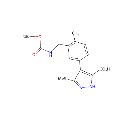 CSc1n[nH]c(C(=O)O)c1-c1ccc(C)c(CNC(=O)OC(C)(C)C)c1